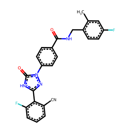 Cc1cc(F)ccc1CNC(=O)c1ccc(-n2nc(-c3c(F)cccc3C#N)[nH]c2=O)cc1